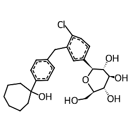 OC[C@H]1O[C@@H](c2ccc(Cl)c(Cc3ccc(C4(O)CCCCCC4)cc3)c2)[C@H](O)[C@@H](O)[C@@H]1O